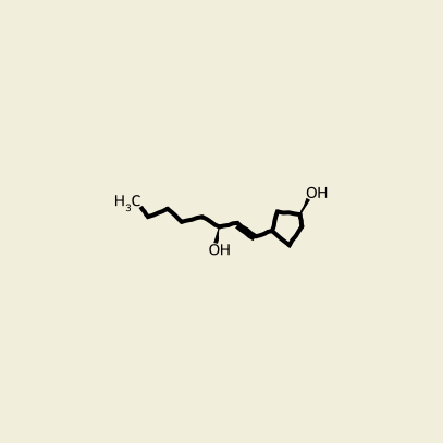 CCCCC[C@H](O)/C=C/C1CC[C@H](O)C1